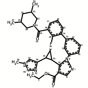 CCOC(=O)c1cnn(-c2cccc(-c3cccc(C(=O)N4CC(C)CC(C)C4)c3F)c2)c1C1CC1c1cn(C)nn1